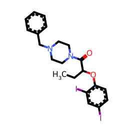 CCC(Oc1ccc(I)cc1I)C(=O)N1CCN(Cc2ccccc2)CC1